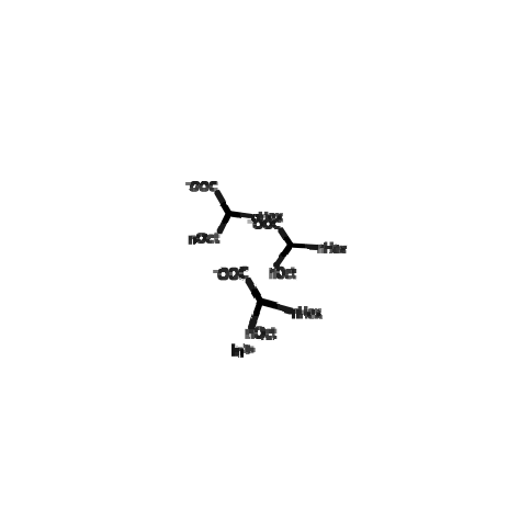 CCCCCCCCC(CCCCCC)C(=O)[O-].CCCCCCCCC(CCCCCC)C(=O)[O-].CCCCCCCCC(CCCCCC)C(=O)[O-].[In+3]